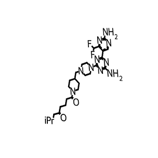 CC(C)CC(=O)CCCC(=O)N1CCC(CN2CCN(c3nc(N)nc(-c4cnc(N)nc4C(F)F)n3)CC2)CC1